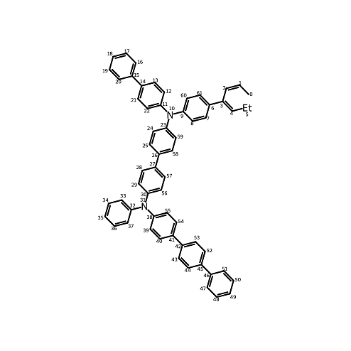 C/C=C\C(=C/CC)c1ccc(N(c2ccc(-c3ccccc3)cc2)c2ccc(-c3ccc(N(c4ccccc4)c4ccc(-c5ccc(-c6ccccc6)cc5)cc4)cc3)cc2)cc1